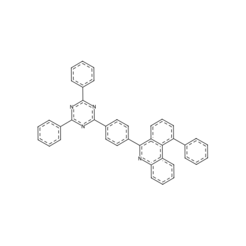 c1ccc(-c2nc(-c3ccccc3)nc(-c3ccc(-c4nc5ccccc5c5c(-c6ccccc6)cccc45)cc3)n2)cc1